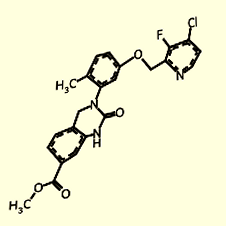 COC(=O)c1ccc2c(c1)NC(=O)N(c1cc(OCc3nccc(Cl)c3F)ccc1C)C2